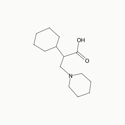 O=C(O)C(CN1CCCCC1)C1CCCCC1